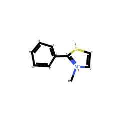 C[n+]1ccsc1-c1ccccc1